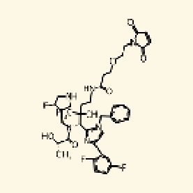 C[C@H](O)C(=O)N(C[C@@H]1CNC[C@@H]1F)[C@@H](c1nc(-c2cc(F)ccc2F)cn1Cc1ccccc1)C(C)(C)CCNC(=O)CCOCCN1C(=O)C=CC1=O